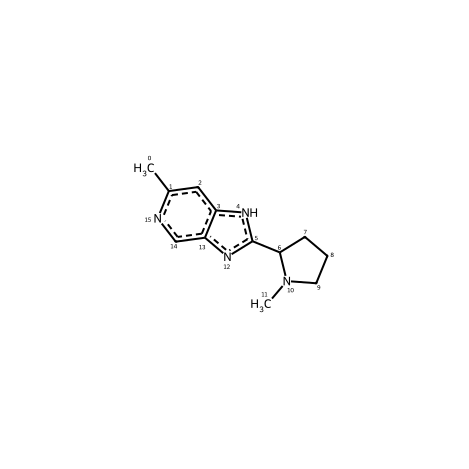 Cc1cc2[nH]c(C3CCCN3C)nc2cn1